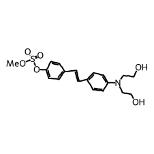 COS(=O)(=O)Oc1ccc(C=Cc2ccc(N(CCO)CCO)cc2)cc1